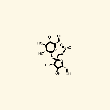 O=[N+]([O-])OC[C@@]1(O[C@H]2O[C@H](CO)[C@@H](O)[C@H](O)[C@H]2O)O[C@H](CO)[C@@H](O)[C@@H]1O